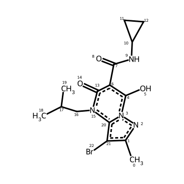 Cc1nn2c(O)c(C(=O)NC3CC3)c(=O)n(CC(C)C)c2c1Br